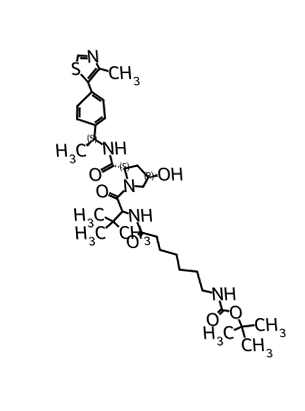 Cc1ncsc1-c1ccc([C@H](C)NC(=O)[C@@H]2C[C@@H](O)CN2C(=O)C(NC(=O)CCCCCCNC(=O)OC(C)(C)C)C(C)(C)C)cc1